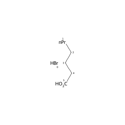 Br.CCCCCCC(=O)O